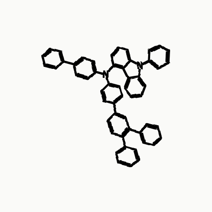 c1ccc(-c2ccc(N(c3ccc(-c4ccc(-c5ccccc5)c(-c5ccccc5)c4)cc3)c3cccc4c3c3ccccc3n4-c3ccccc3)cc2)cc1